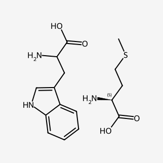 CSCC[C@H](N)C(=O)O.NC(Cc1c[nH]c2ccccc12)C(=O)O